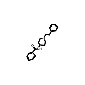 O=C(NC1CCN(CCc2ccccc2)CC1)c1ccccc1